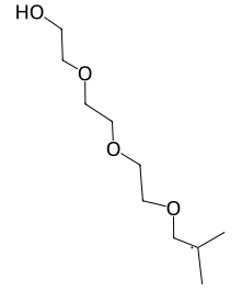 C[C](C)COCCOCCOCCO